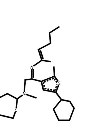 CCC/C=C(C)/N=C(/CN(C)C1CCCCCC1)c1cc(C2CCCCC2)sc1C